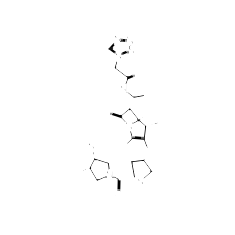 CC(NC(=O)Cn1cnnn1)[C@H]1C(=O)N2C(C(=O)O)=C(S[C@@H]3CN[C@H](C(=O)N4C[C@@H](F)[C@@H](N)C4)C3)[C@H](C)[C@H]12